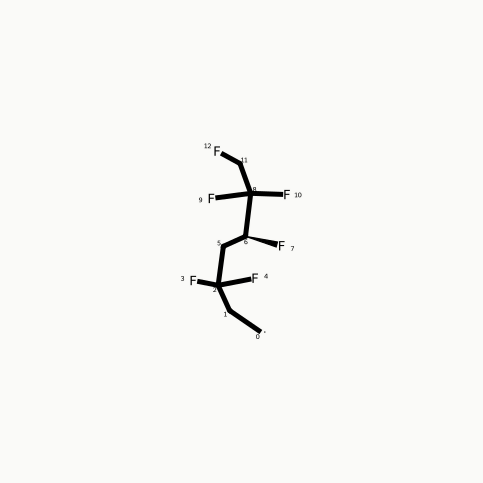 [CH2]CC(F)(F)C[C@H](F)C(F)(F)CF